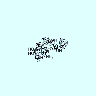 COC[C@H]1[C@@H](O)[C@H](n2c[n+](C)c3c(=O)[nH]c(N)nc32)O[C@@H]1COP(=O)(O)OP(=O)(O)CP(=O)(O)OC[C@H]1O[C@@H](n2cnc3c(N)ncnc32)[C@H](OC)[C@@H]1P(=O)([O-])OC[C@H]1O[C@@H](n2ccc(=O)[nH]c2=O)[C@H](O)[C@@H]1O